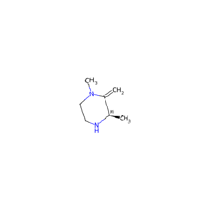 C=C1[C@@H](C)NCCN1C